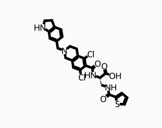 O=C(NC[C@H](NC(=O)c1c(Cl)cc2c(c1Cl)CCN(Cc1ccc3c(c1)NCC3)C2)C(=O)O)c1cccs1